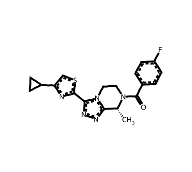 C[C@@H]1c2nnc(-c3nc(C4CC4)cs3)n2CCN1C(=O)c1ccc(F)cc1